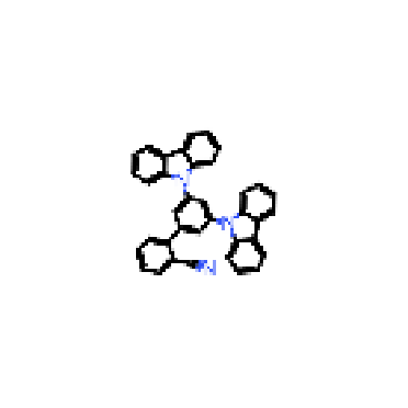 N#Cc1ccccc1-c1cc(-n2c3ccccc3c3ccccc32)cc(-n2c3ccccc3c3ccccc32)c1